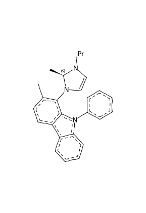 Cc1ccc2c3ccccc3n(-c3ccccc3)c2c1N1C=CN(C(C)C)[C@@H]1C